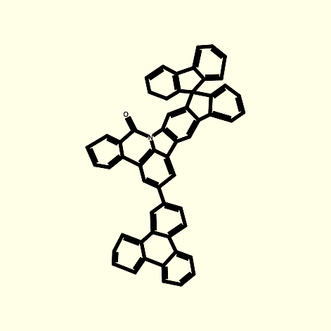 O=c1c2ccccc2c2cc(-c3ccc4c5ccccc5c5ccccc5c4c3)cc3c4cc5c(cc4n1c23)C1(C2=C(C=CCC2)c2ccccc21)c1ccccc1-5